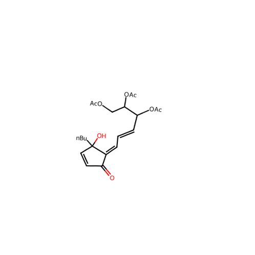 CCCCC1(O)C=CC(=O)C1=CC=CC(OC(C)=O)C(COC(C)=O)OC(C)=O